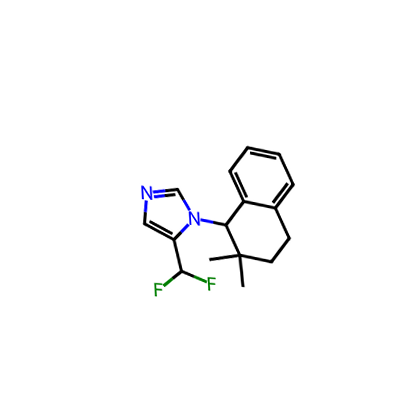 CC1(C)CCc2ccccc2C1n1cncc1C(F)F